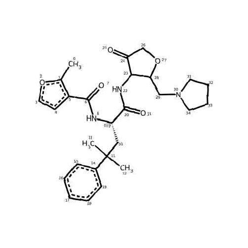 Cc1occc1C(=O)N[C@@H](CC(C)(C)c1ccccc1)C(=O)NC1C(=O)COC1CN1CCCC1